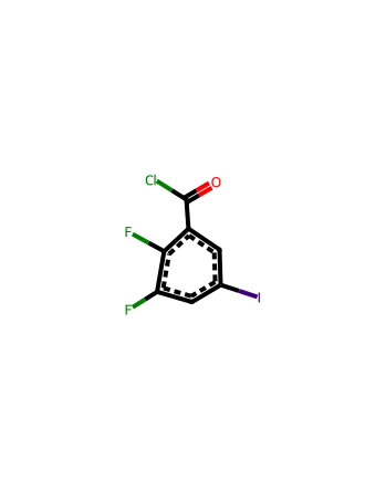 O=C(Cl)c1cc(I)cc(F)c1F